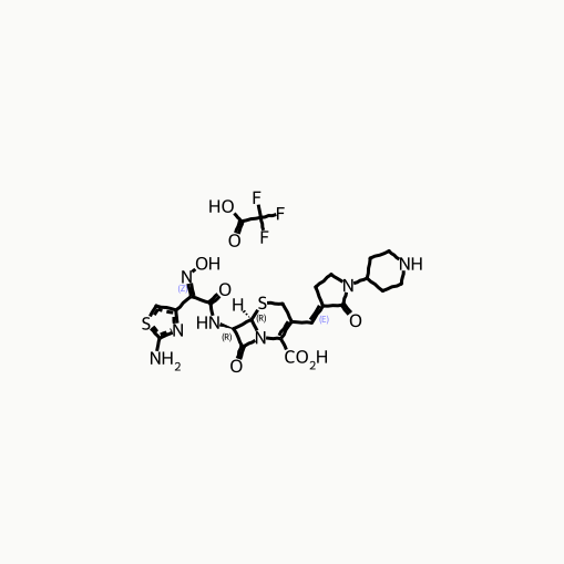 Nc1nc(/C(=N/O)C(=O)N[C@@H]2C(=O)N3C(C(=O)O)=C(/C=C4\CCN(C5CCNCC5)C4=O)CS[C@H]23)cs1.O=C(O)C(F)(F)F